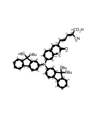 CCCCC1(CCCC)c2ccccc2-c2ccc(N(c3ccc4c(c3)C(CCCC)(CCCC)c3ccccc3-4)c3ccc4cc(/C=C/C=C(\C#N)C(=O)O)c(=O)oc4c3)cc21